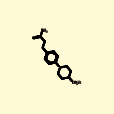 CCOC(=O)C1CCN(c2ccc(CCC(N)=O)cc2)CC1